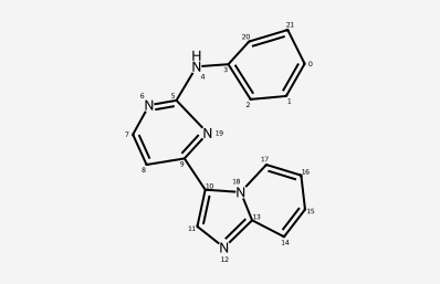 c1ccc(Nc2nccc(-c3cnc4ccccn34)n2)cc1